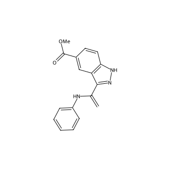 C=C(Nc1ccccc1)c1n[nH]c2ccc(C(=O)OC)cc12